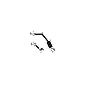 C#CCO.CCCO